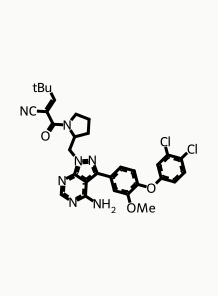 COc1cc(-c2nn(CC3CCCN3C(=O)/C(C#N)=C/C(C)(C)C)c3ncnc(N)c23)ccc1Oc1ccc(Cl)c(Cl)c1